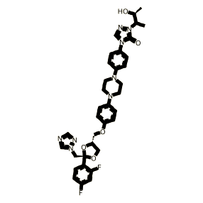 CC([C@H](C)O)n1ncn(-c2ccc(N3CCN(c4ccc(OC[C@@H]5CO[C@](Cn6cncn6)(c6ccc(F)cc6F)O5)cc4)CC3)cc2)c1=O